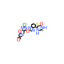 C[C@@H]1CNc2c(sc3ccc4nc(Oc5nc(Cl)ncc5CN5CC6(COC6)CC5=O)cnc4c23)C(=O)N1